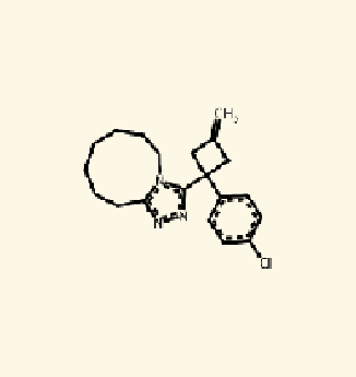 C=C1CC(c2ccc(Cl)cc2)(c2nnc3n2CCCCCCC3)C1